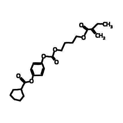 C=C(CC)C(=O)OCCCCOC(=O)Oc1ccc(OC(=O)C2CCCCC2)cc1